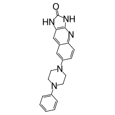 O=c1[nH]c2cc3cc(N4CCN(c5ccccc5)CC4)ccc3nc2[nH]1